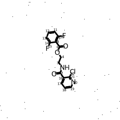 O=C(NCCOC(=O)c1c(F)cccc1F)c1cccnc1Cl